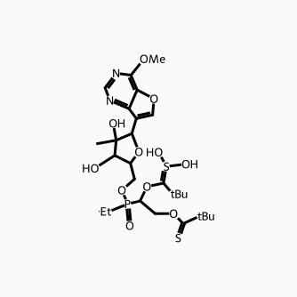 [CH2][CH]P(=O)(OCC1OC(c2coc3c(OC)ncnc23)C(C)(O)C1O)C(COC(=S)C(C)(C)C)OC(=S(O)O)C(C)(C)C